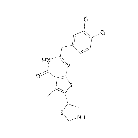 Cc1c(C2CNCS2)sc2nc(Cc3ccc(Cl)c(Cl)c3)[nH]c(=O)c12